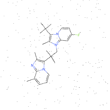 Cc1nc2c(C)cccn2c1C(C)(C)C[n+]1c(C)c(C(C)(C)C)n2ccc(F)cc21